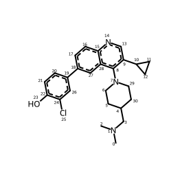 CN(C)CC1CCN(c2c(C3CC3)cnc3ccc(-c4ccc(O)c(Cl)c4)cc23)CC1